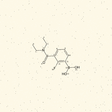 CCN(CC)C(=O)c1cccc(B(O)O)c1F